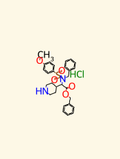 COc1ccc(S(=O)(=O)N(Cc2ccccc2)[C@@H](C(=O)OCc2ccccc2)C2CCNCC2)cc1.Cl